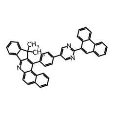 CC1(C)c2ccccc2-c2nc3ccc4ccccc4c3c(-c3ccc(-c4cnc(-c5cc6ccccc6c6ccccc56)nc4)cc3)c21